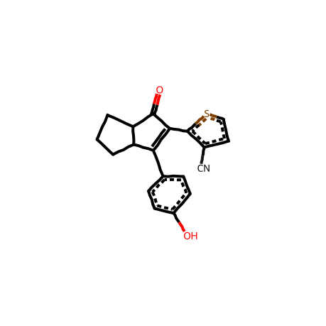 N#Cc1ccsc1C1=C(c2ccc(O)cc2)C2CCCC2C1=O